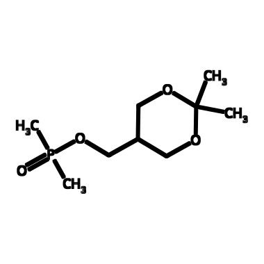 CC1(C)OCC(COP(C)(C)=O)CO1